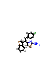 Nc1nc(C(Cc2ccc(F)cc2)c2csc3ccccc23)cs1